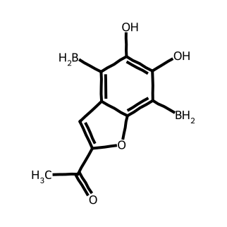 Bc1c(O)c(O)c(B)c2oc(C(C)=O)cc12